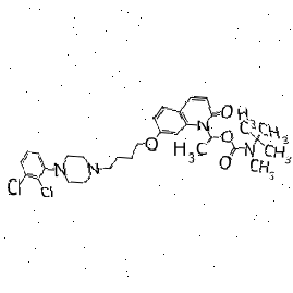 CC(OC(=O)N(C)C(C)(C)C)n1c(=O)ccc2ccc(OCCCCN3CCN(c4cccc(Cl)c4Cl)CC3)cc21